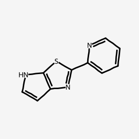 c1ccc(-c2nc3cc[nH]c3s2)nc1